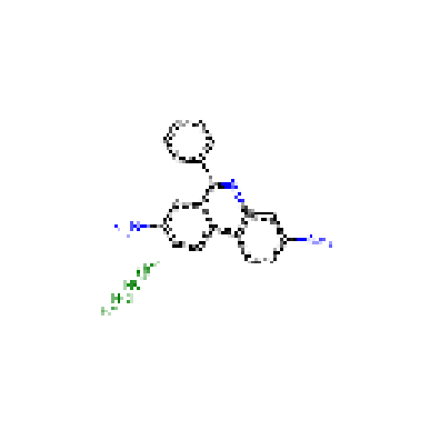 Cl.Cl.Cl.Cl.Nc1ccc2c(c1)nc(-c1ccccc1)c1cc(N)ccc12